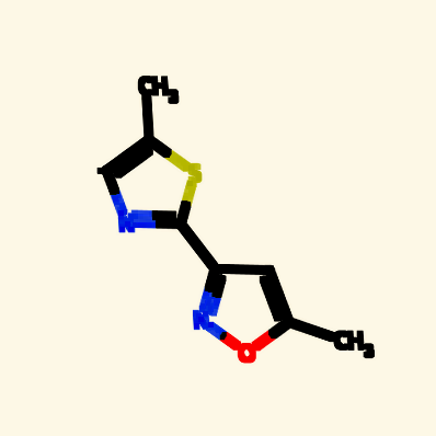 Cc1cc(-c2n[c]c(C)s2)no1